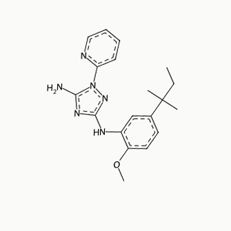 CCC(C)(C)c1ccc(OC)c(Nc2nc(N)n(-c3ccccn3)n2)c1